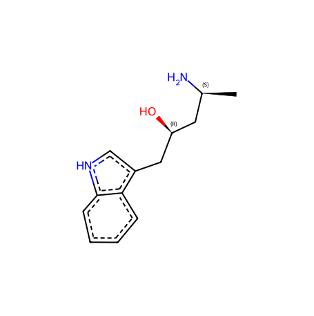 C[C@H](N)C[C@H](O)Cc1c[nH]c2ccccc12